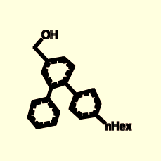 CCCCCCc1ccc(-c2ccc(CO)cc2-c2ccccc2)cc1